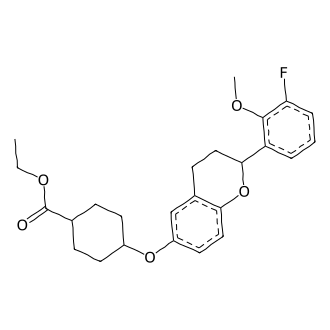 CCOC(=O)C1CCC(Oc2ccc3c(c2)CCC(c2cccc(F)c2OC)O3)CC1